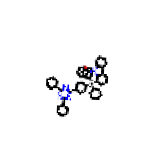 c1ccc(-c2nc(-c3ccccc3)nc(-c3ccc([Si](c4ccccc4)(c4ccccc4)c4cccc5c6ccccc6n(-c6ccccc6)c45)cc3)n2)cc1